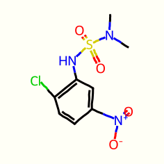 CN(C)S(=O)(=O)Nc1cc([N+](=O)[O-])ccc1Cl